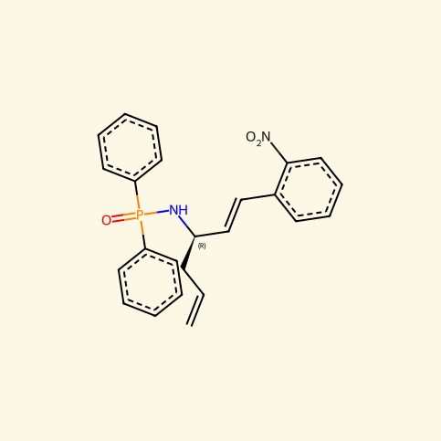 C=CC[C@H](C=Cc1ccccc1[N+](=O)[O-])NP(=O)(c1ccccc1)c1ccccc1